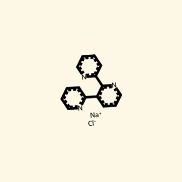 [Cl-].[Na+].c1ccc(-c2cccnc2-c2ccccn2)nc1